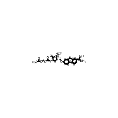 CC(C)(C)C(=O)OCOC(=O)C[C@@H]1C[C@@H](COc2ccc3c(c2)Cc2cc(C(=N)N)ccc2-3)NC1=O.Cl